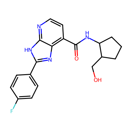 O=C(NC1CCCC1CO)c1ccnc2[nH]c(-c3ccc(F)cc3)nc12